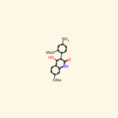 COc1ccc2c(O)c(-c3ccc([N+](=O)[O-])cc3OC)c(=O)[nH]c2c1